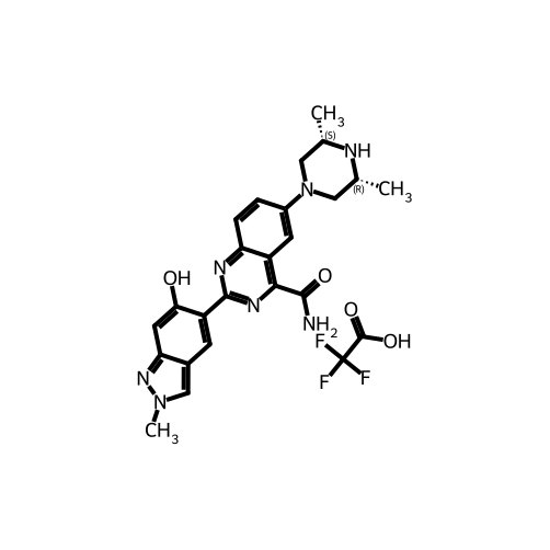 C[C@@H]1CN(c2ccc3nc(-c4cc5cn(C)nc5cc4O)nc(C(N)=O)c3c2)C[C@H](C)N1.O=C(O)C(F)(F)F